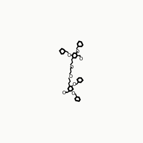 O=Cc1cc(CCCOCCCOCCCc2cc(C=O)c(OCc3ccccc3)cc2OCc2ccccc2)c(OCc2ccccc2)cc1OCc1ccccc1